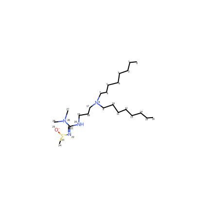 CCCCCCCCN(CCCCCCCC)CCCN/C(=N/[S+](C)[O-])N(C)C